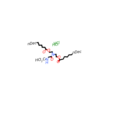 CCCCCCCCCCCCCCCC(=O)OCCN(CCOC(=O)CCCCCCCCCCCCCCC)C(=O)CNC(=O)O.Cl.Cl